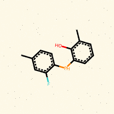 Cc1ccc(Pc2cccc(C)c2O)c(F)c1